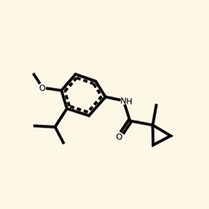 COc1ccc(NC(=O)C2(C)CC2)cc1C(C)C